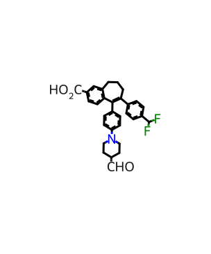 O=CC1CCN(c2ccc(C3=C(c4ccc(C(F)F)cc4)CCCc4cc(C(=O)O)ccc43)cc2)CC1